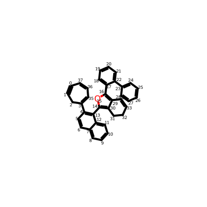 C1#CCC(c2ccc3ccccc3c2-c2oc(-c3ccccc3-c3ccccc3)c3c2CCC=C3)=CC=C1